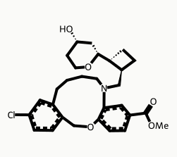 COC(=O)c1ccc2c(c1)N(C[C@@H]1CC[C@H]1[C@H]1C[C@@H](O)CCO1)CCCCc1cc(Cl)ccc1CO2